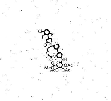 COC(=O)[C@H]1OC(Nc2ccc3c(c2)NC(=O)[C@H](C)CCC[C@H](N2CCC(c4c(F)ccc(Cl)c4F)=CC2=O)c2cc-3ccn2)[C@H](OC(C)=O)[C@@H](OC(C)=O)[C@@H]1OC(C)=O